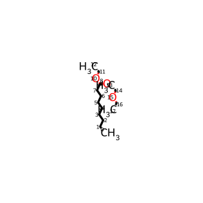 CCCCCCCCC(=O)OCC.CCOCC